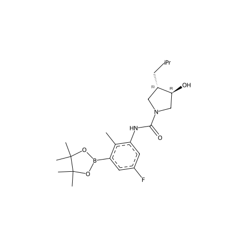 Cc1c(NC(=O)N2C[C@H](CC(C)C)[C@@H](O)C2)cc(F)cc1B1OC(C)(C)C(C)(C)O1